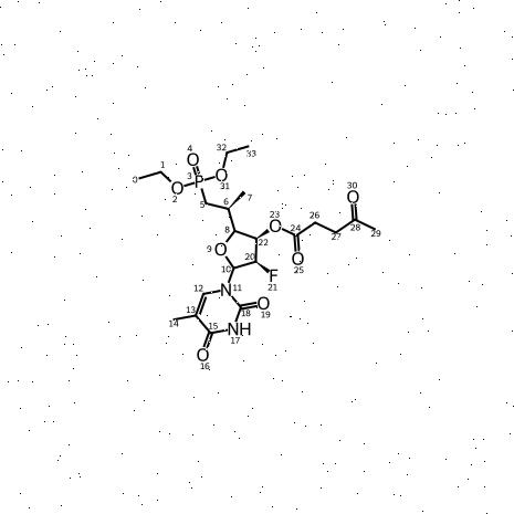 CCOP(=O)(C[C@@H](C)C1OC(n2cc(C)c(=O)[nH]c2=O)[C@H](F)[C@@H]1OC(=O)CCC(C)=O)OCC